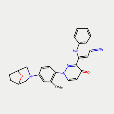 COc1cc(N2CC3CCC(C2)O3)ccc1-n1ccc(=O)c(/C(=C/C=N)Nc2ccccc2)n1